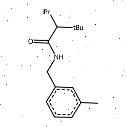 Cc1cccc(CNC(=O)C(C(C)C)C(C)(C)C)c1